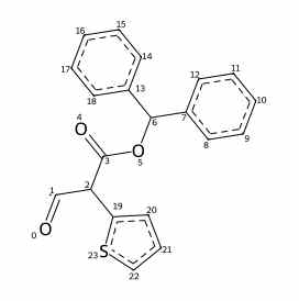 O=[C]C(C(=O)OC(c1ccccc1)c1ccccc1)c1cccs1